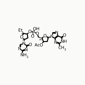 CC[C@H]1O[C@@H](n2cnc(N)nc2=O)CC1OP(=O)(O)OC[C@H]1O[C@@H](n2cnc3c(=O)[nH]c(C)nc32)CC1OC(C)=O